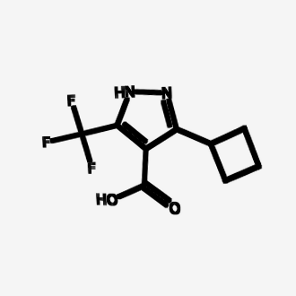 O=C(O)c1c(C2CCC2)n[nH]c1C(F)(F)F